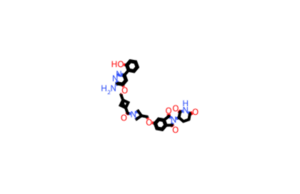 Nc1nnc(-c2ccccc2O)cc1OCC12CC(C(=O)N3CC(COc4ccc5c(c4)C(=O)N(C4CCC(=O)NC4=O)C5=O)C3)(C1)C2